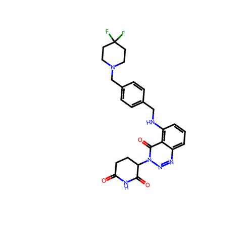 O=C1CCC(n2nnc3cccc(NCc4ccc(CN5CCC(F)(F)CC5)cc4)c3c2=O)C(=O)N1